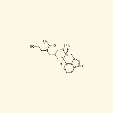 CN1CC(CN(CCC#N)C(N)=O)C[C@@H]2c3cccc4[nH]cc(c34)C[C@H]21